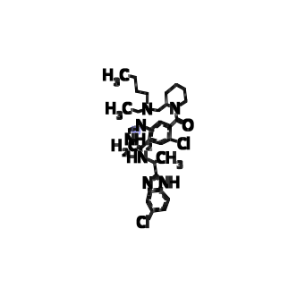 C=C(NC(C)c1nc2cc(Cl)ccc2[nH]1)c1cc(Cl)c(C(=O)N2CCCCC2CN(CC)CCCC)cc1/N=C\N